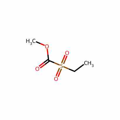 CCS(=O)(=O)C(=O)OC